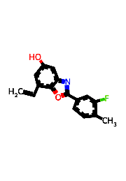 C=Cc1cc(O)cc2nc(-c3ccc(C)c(F)c3)oc12